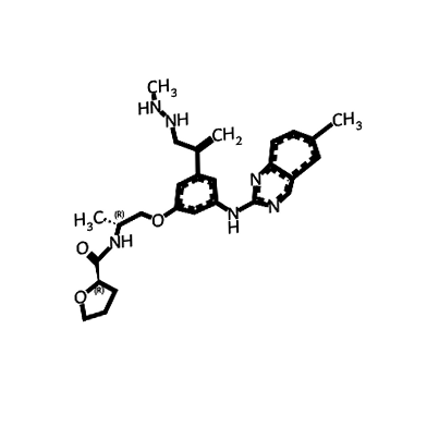 C=C(CNNC)c1cc(Nc2ncc3cc(C)ccc3n2)cc(OC[C@@H](C)NC(=O)[C@H]2CCCO2)c1